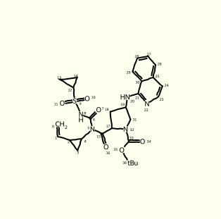 C=CC1CC1N(C(=O)NS(=O)(=O)C1CC1)C(=O)C1CC(Nc2nccc3ccccc23)CN1C(=O)OC(C)(C)C